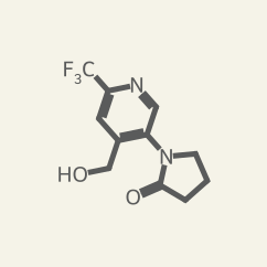 O=C1CCCN1c1cnc(C(F)(F)F)cc1CO